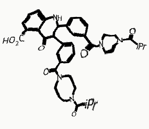 CC(C)C(=O)N1CCN(C(=O)c2cccc(C3Nc4cccc(C(=O)O)c4C(=O)C3c3cccc(C(=O)N4CCN(C(=O)C(C)C)CC4)c3)c2)CC1